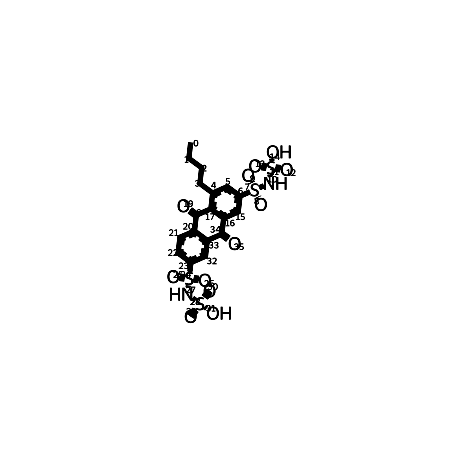 CCCCc1cc(S(=O)(=O)NS(=O)(=O)O)cc2c1C(=O)c1ccc(S(=O)(=O)NS(=O)(=O)O)cc1C2=O